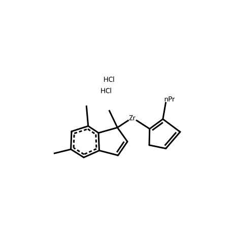 CCCC1=[C]([Zr][C]2(C)C=Cc3cc(C)cc(C)c32)CC=C1.Cl.Cl